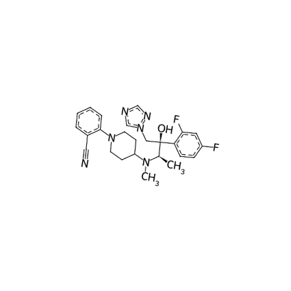 C[C@@H](N(C)C1CCN(c2ccccc2C#N)CC1)[C@](O)(Cn1cncn1)c1ccc(F)cc1F